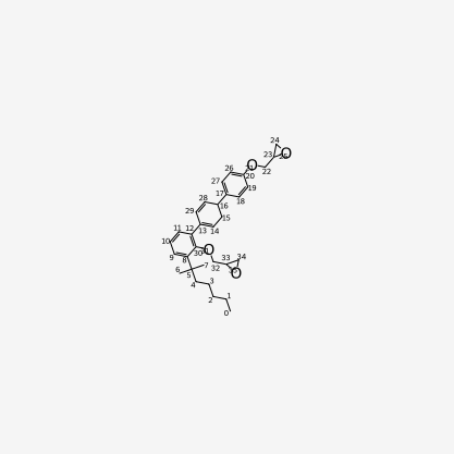 CCCCCC(C)(C)c1cccc(C2=CCC(c3ccc(OCC4CO4)cc3)C=C2)c1OCC1CO1